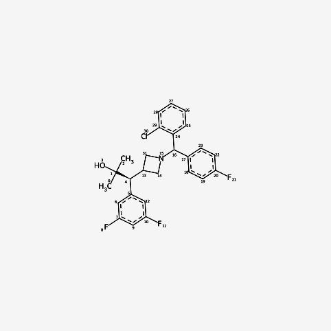 CC(C)(O)[C@H](c1cc(F)cc(F)c1)C1CN(C(c2ccc(F)cc2)c2ccccc2Cl)C1